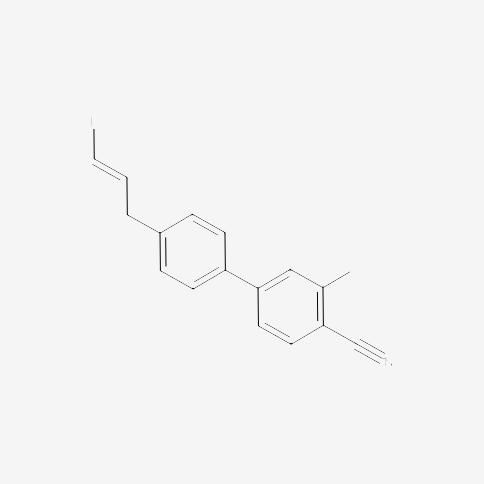 N#Cc1ccc(-c2ccc(C/C=C/F)cc2)cc1F